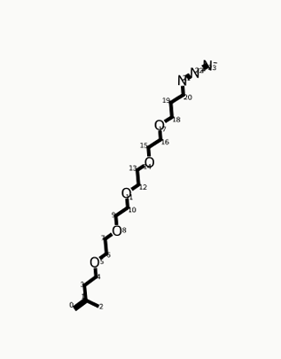 C=C(C)CCOCCOCCOCCOCCOCCCN=[N+]=[N-]